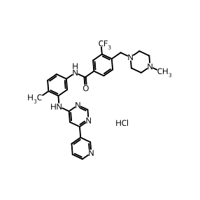 Cc1ccc(NC(=O)c2ccc(CN3CCN(C)CC3)c(C(F)(F)F)c2)cc1Nc1cc(-c2cccnc2)ncn1.Cl